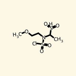 COCCN(C(C)[SH](=O)=O)S(=O)(=O)Cl